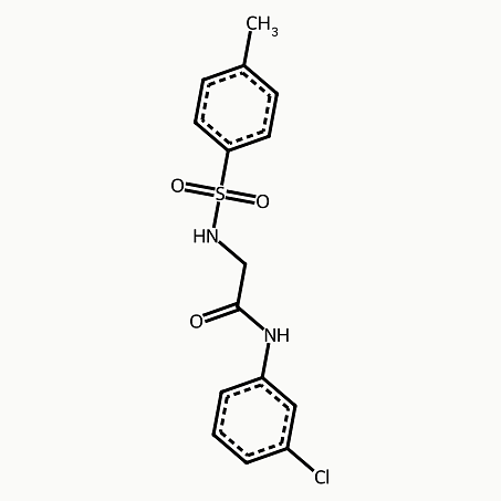 Cc1ccc(S(=O)(=O)NCC(=O)Nc2cccc(Cl)c2)cc1